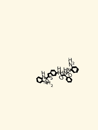 Nc1ccccc1NC(=O)N[C@H](C(=O)Nc1ccc2cc(C(=O)Nc3ccccc3N)sc2c1)c1ccccc1